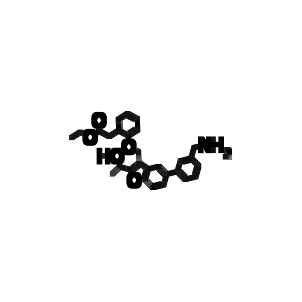 CCOC(=O)Cc1ccccc1OCc1c(C(C)O)oc2ccc(-c3cccc(CN)c3)cc12